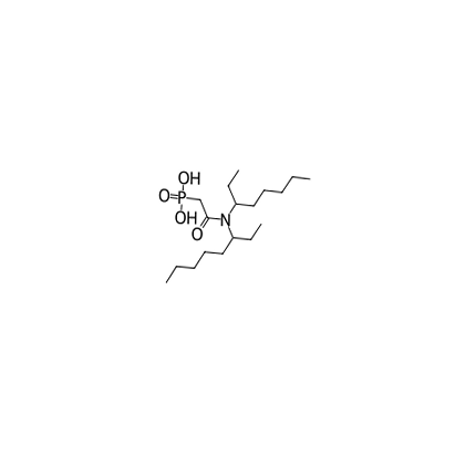 CCCCCC(CC)N(C(=O)CP(=O)(O)O)C(CC)CCCCC